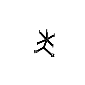 CCC(CC)S(I)(I)(I)(I)I